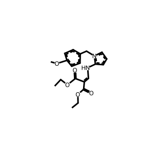 CCOC(=O)C(=CNc1cccn1Cc1ccc(OC)cc1)C(=O)OCC